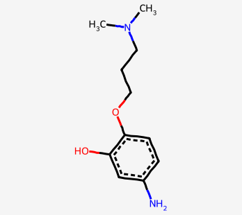 CN(C)CCCOc1ccc(N)cc1O